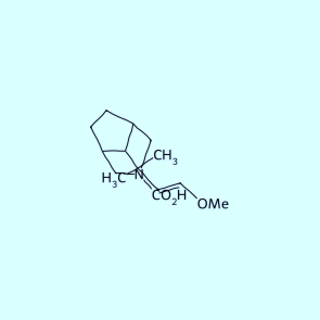 COC=CC(C)(C)C1C2CCC1CN(C(=O)O)C2